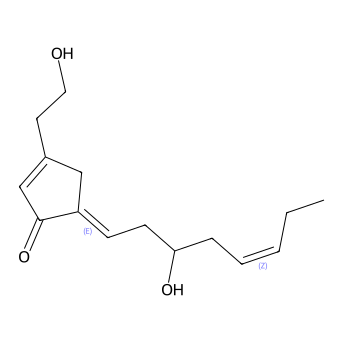 CC/C=C\CC(O)C/C=C1\CC(CCO)=CC1=O